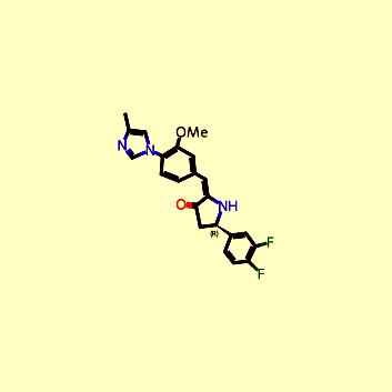 COc1cc(C=C2N[C@@H](c3ccc(F)c(F)c3)CC2=O)ccc1-n1cnc(C)c1